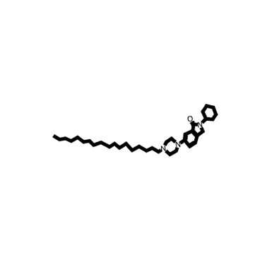 CCCCCCCCCCCCCCCCCCN1CCN(c2ccc3c(c2)C(=O)N(C2CCCCC2)C3)CC1